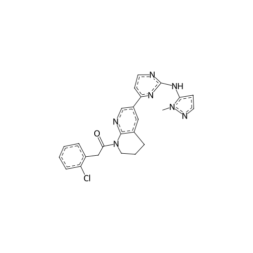 Cn1nccc1Nc1nccc(-c2cnc3c(c2)CCCN3C(=O)Cc2ccccc2Cl)n1